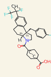 CC(F)(c1ccc2c(c1)CC[C@H]1N(C(=O)C34CCC(C(=O)O)(CC3)CC4)CC[C@@]21Cc1ccc(F)cc1)C(F)(F)F